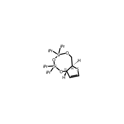 CC(C)[Si]1(C(C)C)OC[C@H]2SC=C[C@@H]2O[Si](C(C)C)(C(C)C)O1